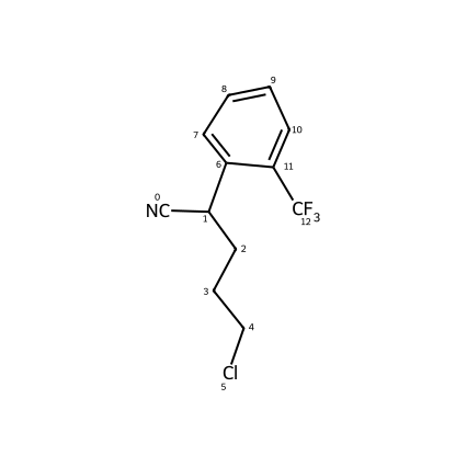 N#CC(CCCCl)c1ccccc1C(F)(F)F